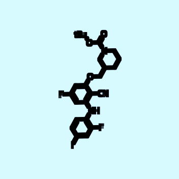 CC(C)(C)OC(=O)N1CCCC(COc2cc(F)cc(Nc3ccc(I)cc3F)c2C#N)C1